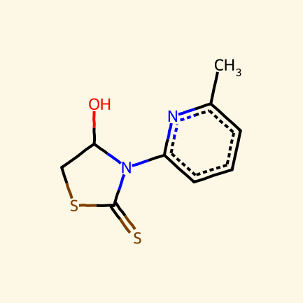 Cc1cccc(N2C(=S)SCC2O)n1